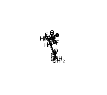 C[C@@H](COC(=O)NCCCCCCN1C(=O)CC(SC[C@H](N)C(=O)O)C1=O)NC(=O)N(C[C@@H]1CNC[C@@H]1F)[C@@H](c1nc(-c2cc(F)ccc2F)cn1Cc1ccccc1)C1CCOCC1